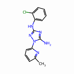 Cc1cccc(-n2nc(Nc3ccccc3Cl)nc2N)n1